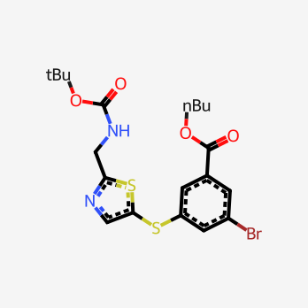 CCCCOC(=O)c1cc(Br)cc(Sc2cnc(CNC(=O)OC(C)(C)C)s2)c1